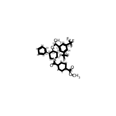 COC(=O)C1CCC(C(=O)N2CC[C@H](O[C@H](C)c3cc(C(F)(F)F)cc(C(F)(F)F)c3)[C@H](c3ccccc3)C2)CC1